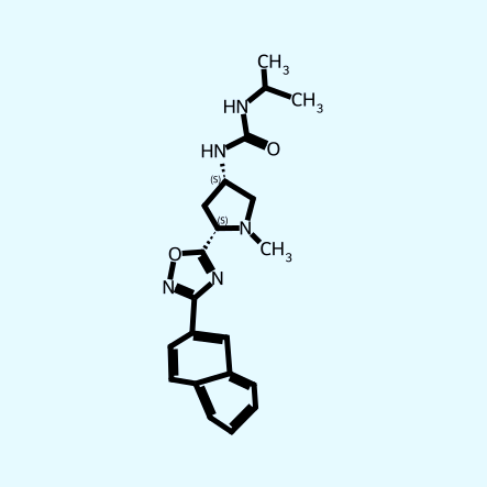 CC(C)NC(=O)N[C@H]1C[C@@H](c2nc(-c3ccc4ccccc4c3)no2)N(C)C1